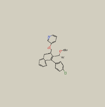 CC(=O)[C@@H](OC(C)(C)C)c1c(COc2cccnc2)cc2ccccc2c1-c1ccc(Cl)cc1